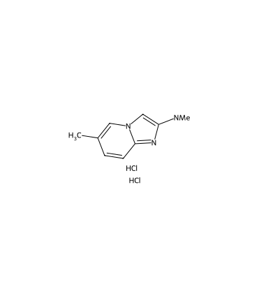 CNc1cn2cc(C)ccc2n1.Cl.Cl